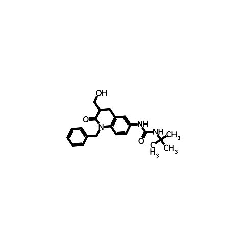 CC(C)(C)NC(=O)Nc1ccc2c(c1)CC(CO)C(=O)N2Cc1ccccc1